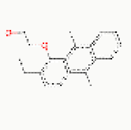 CCc1ccc2c(C)c3ccccc3c(C)c2c1OCC=O